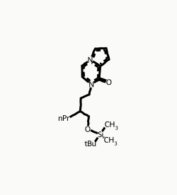 CCCC(CCn1ccn2cccc2c1=O)CO[Si](C)(C)C(C)(C)C